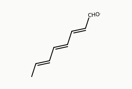 CC=CC=CC=C[C]=O